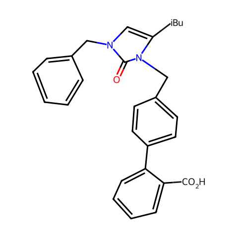 CCC(C)c1cn(Cc2ccccc2)c(=O)n1Cc1ccc(-c2ccccc2C(=O)O)cc1